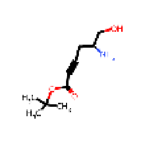 CC(C)(C)OC(=O)C#CC[C@H](N)CO